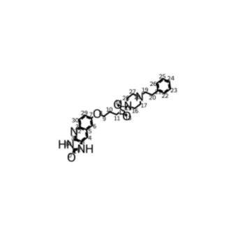 O=c1[nH]c2cc3cc(OCCCS(=O)(=O)N4CCN(CCc5ccccc5)CC4)ccc3nc2[nH]1